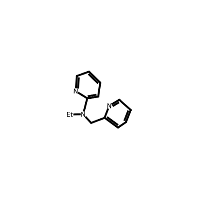 CCN(Cc1ccccn1)c1ccccn1